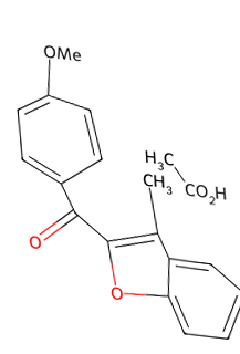 CC(=O)O.COc1ccc(C(=O)c2oc3ccccc3c2C)cc1